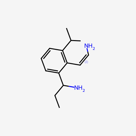 CCC(N)c1cccc(C(C)C)c1/C=C\N